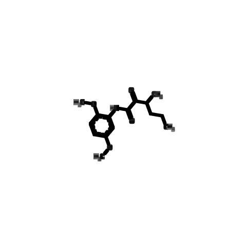 CCCC(C)C(=O)C(=O)Nc1cc(OC)ccc1OC